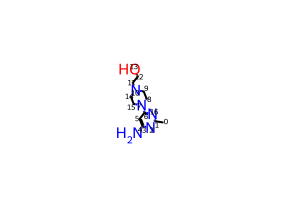 Cc1nc(N)cc(N2CCN(CCO)CC2)n1